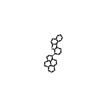 c1ccc2c(c1)ccc1sc3c(-c4ccc5ccc6cccc7ccc4c5c67)cccc3c12